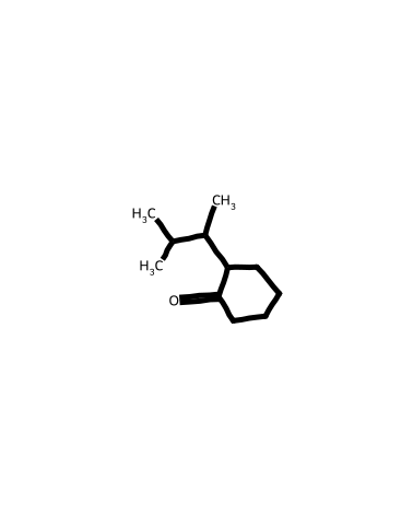 CC(C)C(C)C1CCCCC1=O